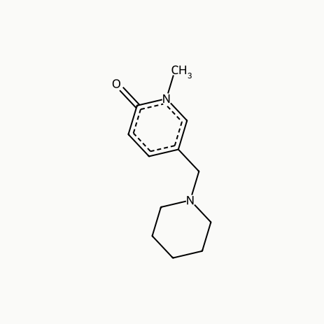 Cn1cc(CN2CCCCC2)ccc1=O